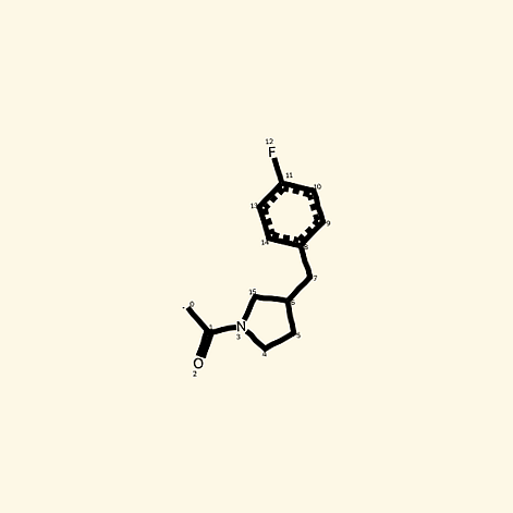 [CH2]C(=O)N1CCC(Cc2ccc(F)cc2)C1